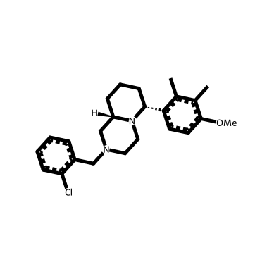 COc1ccc([C@H]2CCC[C@H]3CN(Cc4ccccc4Cl)CCN32)c(C)c1C